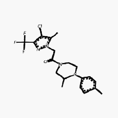 Cc1ccc(N2CCN(C(=O)Cn3nc(C(F)(F)F)c(Cl)c3C)CC2C)cc1